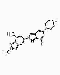 Cc1cc(-n2cc3cc(C4CCNCC4)cc(F)c3n2)cc2cn(C)nc12